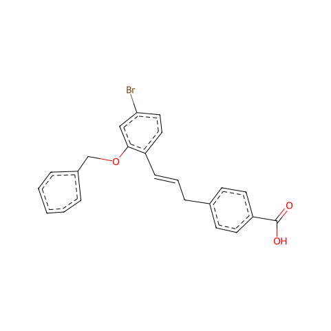 O=C(O)c1ccc(CC=Cc2ccc(Br)cc2OCc2ccccc2)cc1